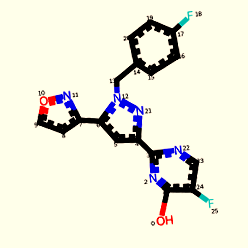 Oc1nc(-c2cc(-c3ccon3)n(Cc3ccc(F)cc3)n2)ncc1F